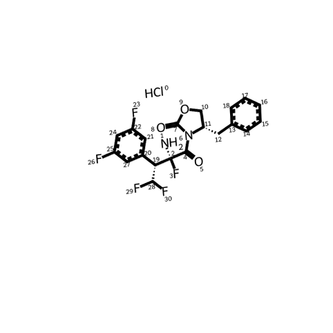 Cl.N[C@@](F)(C(=O)N1C(=O)OC[C@@H]1Cc1ccccc1)[C@@H](c1cc(F)cc(F)c1)C(F)F